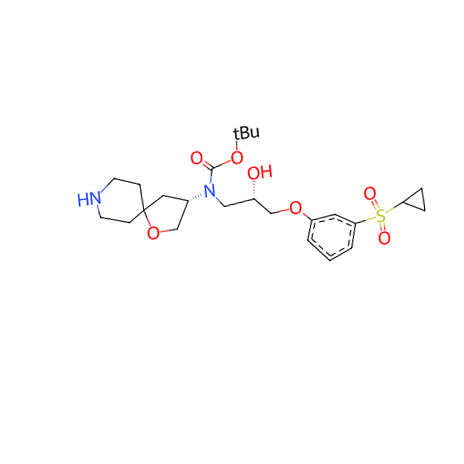 CC(C)(C)OC(=O)N(C[C@H](O)COc1cccc(S(=O)(=O)C2CC2)c1)[C@@H]1COC2(CCNCC2)C1